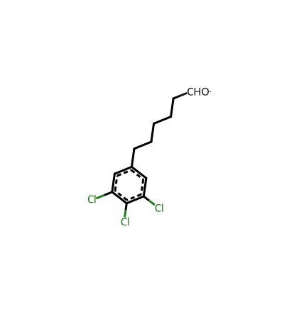 O=[C]CCCCCc1cc(Cl)c(Cl)c(Cl)c1